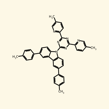 Cc1ccc(-c2ccc3c(c2)c2cc(-c4ccc(C)cc4)ccc2n3-c2nc(-c3ccc(C)cn3)nc(-c3ccc(C)cn3)n2)cc1